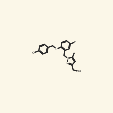 Cc1cc(CO)nn1Cc1cc(Cl)ccc1OCc1ccc(Cl)cc1